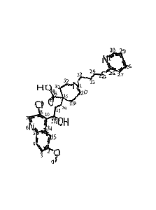 COc1ccc2ncc(Cl)c([C@H](O)CCC3(C(=O)O)CCN(CCCSc4ccccn4)CC3)c2c1